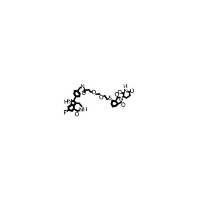 CN(Cc1ccc(-c2[nH]c3cc(F)cc4c3c2CCNC4=O)cc1)C(=O)CCOCCOCCSc1cccc2c1C(=O)N(C1CCC(=O)NC1=O)C2=O